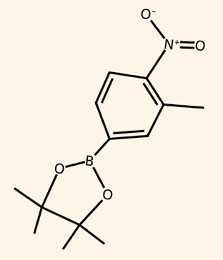 Cc1cc(B2OC(C)(C)C(C)(C)O2)ccc1[N+](=O)[O-]